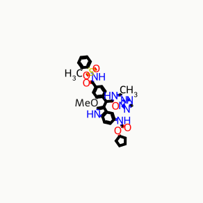 COc1cc(C(=O)NS(=O)(=O)c2ccccc2C)ccc1C(C(=O)NC(C)n1ncnn1)c1c[nH]c2ccc(NC(=O)OC3CCCC3)cc12